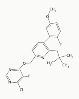 COc1ccc(F)c(-c2ccc(COc3ncnc(Cl)c3F)nc2CC(C)(C)C)c1